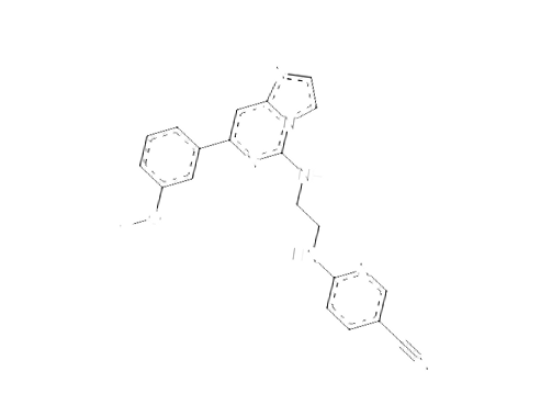 COc1cccc(-c2cc3nccn3c(NCCNc3ccc(C#N)cn3)n2)c1